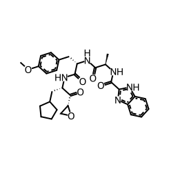 COc1ccc(C[C@H](NC(=O)[C@@H](C)NC(=O)c2nc3ccccc3[nH]2)C(=O)N[C@@H](CC2CCCC2)C(=O)[C@H]2CO2)cc1